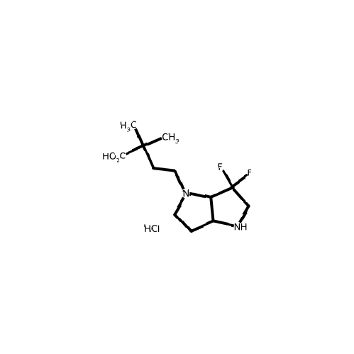 CC(C)(CCN1CCC2NCC(F)(F)C21)C(=O)O.Cl